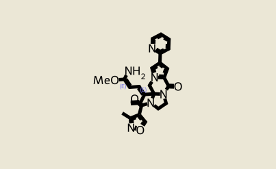 C=C/C(=C\C=C(/N)OC)C12Cn3cc(-c4ccccn4)cc3C(=O)N1CCN2C(=O)c1conc1C